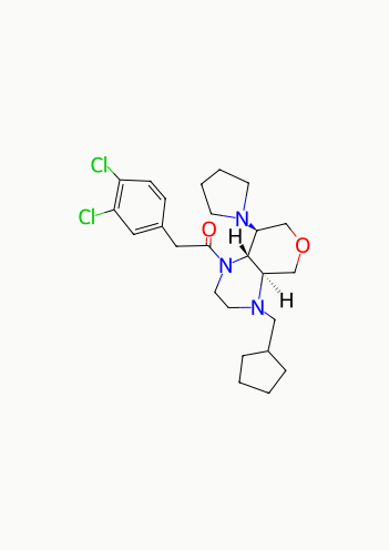 O=C(Cc1ccc(Cl)c(Cl)c1)N1CCN(CC2CCCC2)[C@@H]2COC[C@H](N3CCCC3)[C@H]21